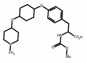 CN1CCC(OC2CCC(Oc3ccc(CC(NC(=O)OC(C)(C)C)C(=O)O)cc3)CC2)CC1